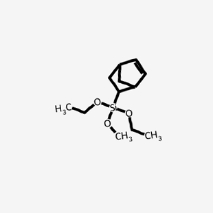 CCO[Si](OC)(OCC)C1CC2C=CC1C2